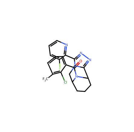 O=C(c1cccc(C(F)(F)F)c1Cl)N1C2CCCC1c1nnc(-c3ncccc3F)n1C2